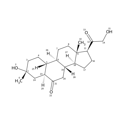 C[C@@]1(O)CC[C@@H]2[C@H]3CC[C@]4(C)[C@@H](C(=O)CO)CC[C@H]4[C@@H]3CC(=O)[C@H]2C1